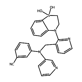 N#Cc1cccc(N(Cc2cccnc2N2CCS(O)(O)c3ccccc32)c2cccnc2)c1